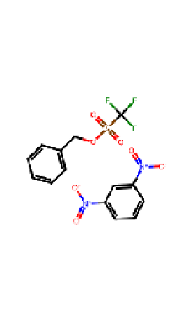 O=S(=O)(OCc1ccccc1)C(F)(F)F.O=[N+]([O-])c1cccc([N+](=O)[O-])c1